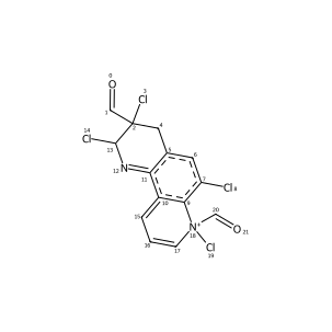 O=CC1(Cl)Cc2cc(Cl)c3c(c2=NC1Cl)=CC=C[N+]3(Cl)C=O